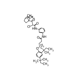 CCC(C)(C)c1ccc(OCCCC(=O)Nc2cccc(NC(=O)C(Cl)C(=O)C34CCC(CC3)C4(C)C)c2)c(C(C)(C)CC)c1